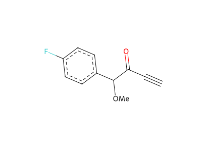 C#CC(=O)C(OC)c1ccc(F)cc1